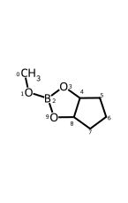 COB1OC2CCCC2O1